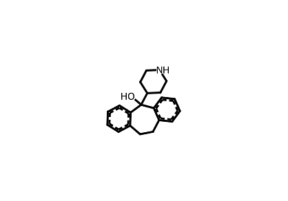 OC1(C2CCNCC2)c2ccccc2CCc2ccccc21